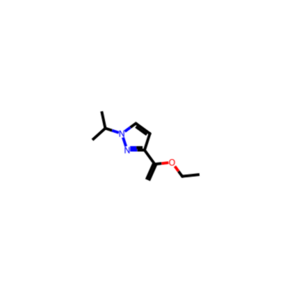 C=C(OCC)c1ccn(C(C)C)n1